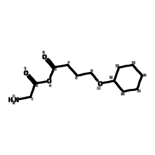 NCC(=O)OC(=O)CCCOC1CCCCC1